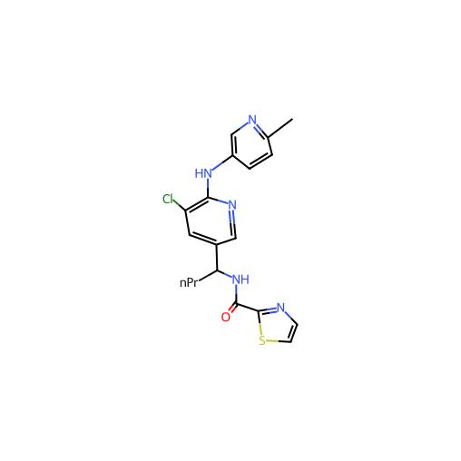 CCCC(NC(=O)c1nccs1)c1cnc(Nc2ccc(C)nc2)c(Cl)c1